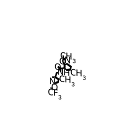 Cc1cc(C(=O)NCc2cnc(OCC(F)(F)F)cc2C)c2oc(C)nc2c1